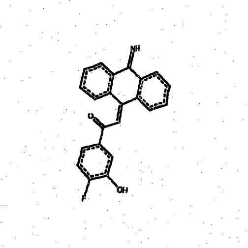 N=C1c2ccccc2C(=CC(=O)c2ccc(F)c(O)c2)c2ccccc21